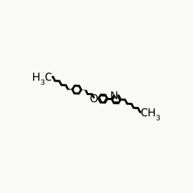 CCCCCCCc1ccc(-c2ccc(OCCC[C@H]3CC[C@H](CCCCCCC)CC3)cc2)nc1